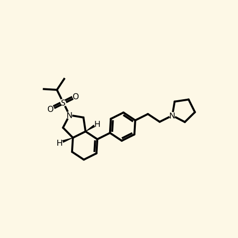 CC(C)S(=O)(=O)N1C[C@H]2CCC=C(c3ccc(CCN4CCCC4)cc3)[C@H]2C1